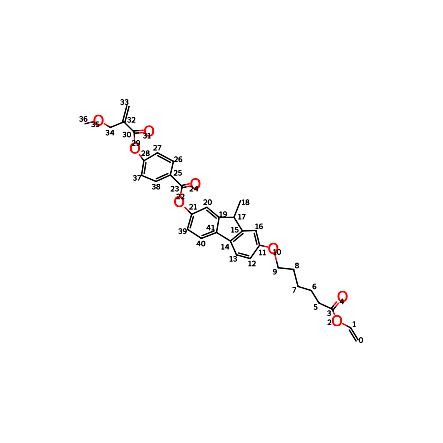 C=COC(=O)CCCCCOc1ccc2c(c1)C(C)c1cc(OC(=O)c3ccc(OC(=O)C(=C)COC)cc3)ccc1-2